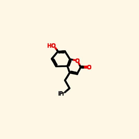 CC(C)CCc1cc(=O)oc2cc(O)ccc12